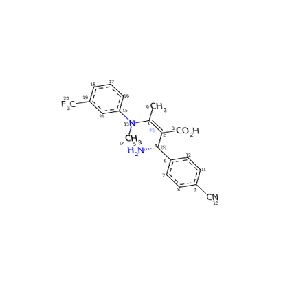 C/C(=C(\C(=O)O)[C@@H](N)c1ccc(C#N)cc1)N(C)c1cccc(C(F)(F)F)c1